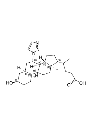 CC(CCC(=O)O)[C@H]1CC[C@H]2[C@@H]3[C@@H](n4ccnn4)C[C@@H]4C[C@H](O)CC[C@]4(C)[C@H]3CC[C@]12C